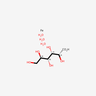 O.O.O.O=C(O)[C@H](O)[C@@H](O)[C@H](O)[C@H](O)CO.[Fe]